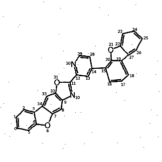 c1ccc2c(c1)oc1cc3nc(-c4cc(-c5cccc6c5oc5ccccc56)ccn4)oc3cc12